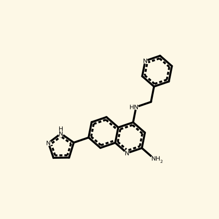 Nc1cc(NCc2cccnc2)c2ccc(-c3ccn[nH]3)cc2n1